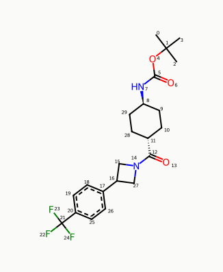 CC(C)(C)OC(=O)N[C@H]1CC[C@H](C(=O)N2CC(c3ccc(C(F)(F)F)cc3)C2)CC1